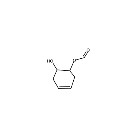 O=COC1CC=CCC1O